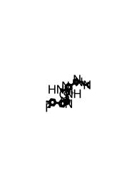 Cc1ccc(-c2ccc3ncc([S+]([O-])Nc4cc(-c5cnn(CCN(C)C)c5)cnc4C=N)n3c2)cc1F